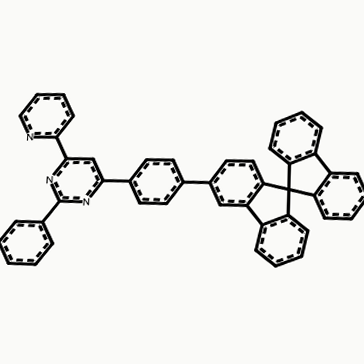 c1ccc(-c2nc(-c3ccc(-c4ccc5c(c4)-c4ccccc4C54c5ccccc5-c5ccccc54)cc3)cc(-c3ccccn3)n2)cc1